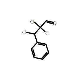 O=CC(Cl)(Cl)C(Cl)c1ccccc1